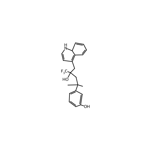 CC(C)(CC(O)(CC1=C2C=CC=CC2NC=C1)C(F)(F)F)c1cccc(O)c1